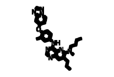 CCCCN(C)c1nc2c(Nc3ccc(Oc4ccn5ncnc5c4)c(C)c3)ncnc2cc1CCC